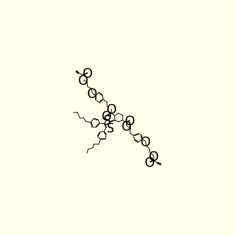 C#CC(=O)OCCCOc1ccc(CCOC(=O)C2CCC(C(=O)OCCc3ccc(OCCCOC(=O)C#C)cc3)C(=C3SC(c4ccc(CCCCC)cc4)=C(c4ccc(CCCCC)cc4)S3)C2)cc1